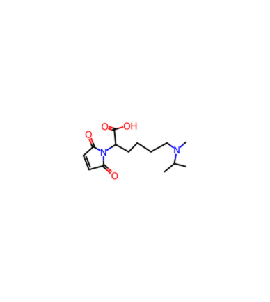 CC(C)N(C)CCCCC(C(=O)O)N1C(=O)C=CC1=O